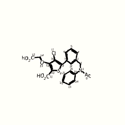 CC(=O)N(Cc1cccc(-c2sc(C(=O)O)c(OCC(=O)O)c2Cl)c1)c1ccccc1